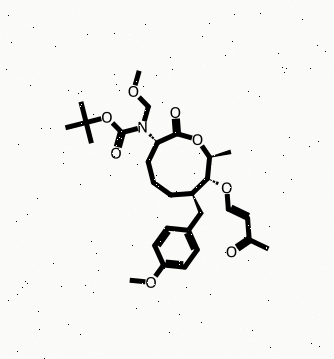 COCN(C(=O)OC(C)(C)C)[C@H]1CCC[C@H](Cc2ccc(OC)cc2)[C@@H](OC=CC(C)=O)[C@H](C)OC1=O